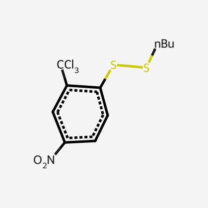 CCCCSSc1ccc([N+](=O)[O-])cc1C(Cl)(Cl)Cl